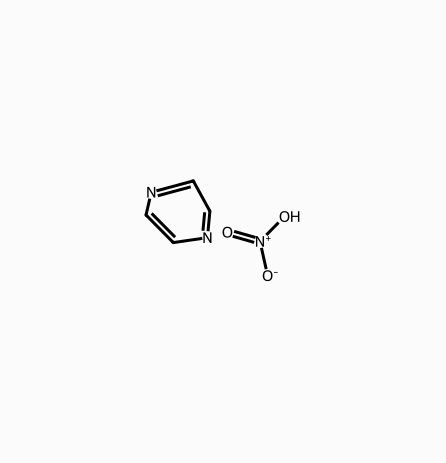 O=[N+]([O-])O.c1cnccn1